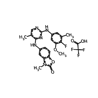 COc1cc(Nc2ncc(C)c(Nc3ccc4oc(=O)n(C)c4c3)n2)cc(C)c1F.O=C(O)C(F)(F)F